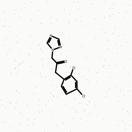 O=C(Cc1ccc(Cl)cc1Cl)Cn1cncn1